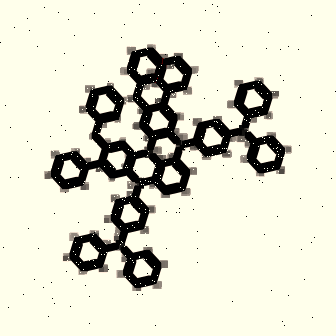 c1ccc(Cc2cc3c(cc2-c2ccccc2)N(c2ccc(N(c4ccccc4)c4ccccc4)cc2)c2cccc4c2B3c2cc(Cc3ccccc3)c(-c3ccccc3)cc2N4c2ccc(N(c3ccccc3)c3ccccc3)cc2)cc1